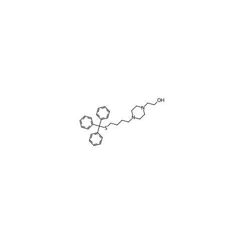 OCCN1CCN(CCCCSC(c2ccccc2)(c2ccccc2)c2ccccc2)CC1